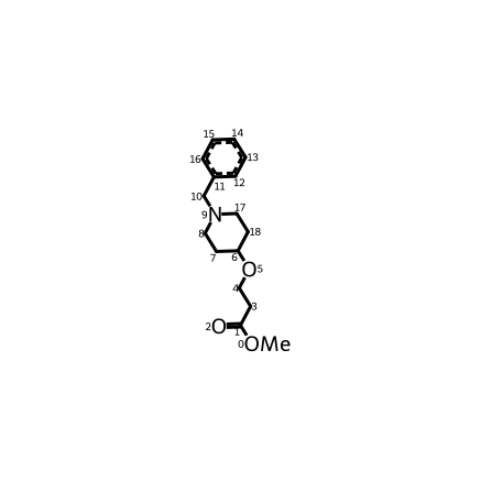 COC(=O)CCOC1CCN(Cc2ccccc2)CC1